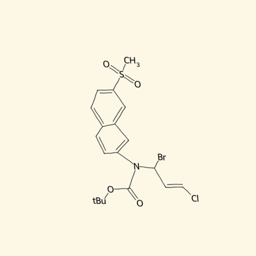 CC(C)(C)OC(=O)N(c1ccc2ccc(S(C)(=O)=O)cc2c1)C(Br)C=CCl